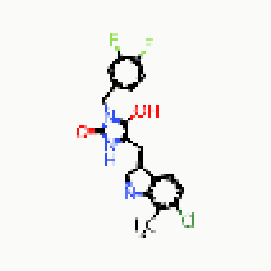 Cc1c(Cl)ccc2c1N=CC2=Cc1[nH]c(=O)n(Cc2ccc(F)c(F)c2)c1O